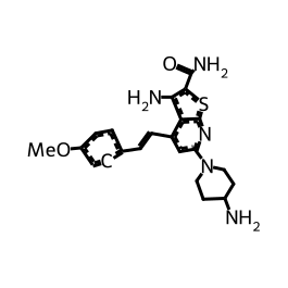 COc1ccc(C=Cc2cc(N3CCC(N)CC3)nc3sc(C(N)=O)c(N)c23)cc1